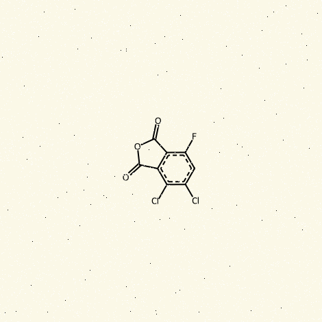 O=C1OC(=O)c2c(Cl)c(Cl)cc(F)c21